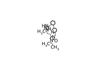 CCCCc1cn(C(C)CC)c(=O)n1Cc1ccc(-c2ccccc2-c2nnn[nH]2)cn1